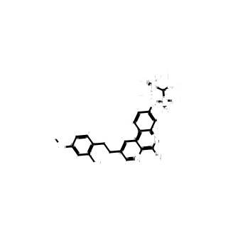 COc1ccc(CCc2cnc3c(N)nc4cc(OP(=O)(O)C(O)P(=O)(O)O)ccc4c3c2)c(C)c1